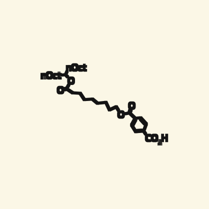 CCCCCCCCC(CCCCCCCC)OC(=O)CCCCCCCCOC(=O)c1ccc(C(=O)O)cc1